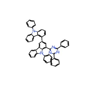 c1ccc(-c2nc(-c3ccccc3)nc(-c3cc(-c4cccc5c4c4ccccc4n5-c4ccccc4)cc4c5ccccc5n(-c5ccccc5)c34)n2)cc1